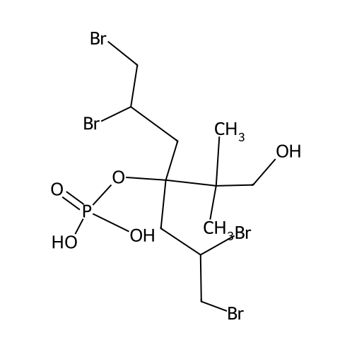 CC(C)(CO)C(CC(Br)CBr)(CC(Br)CBr)OP(=O)(O)O